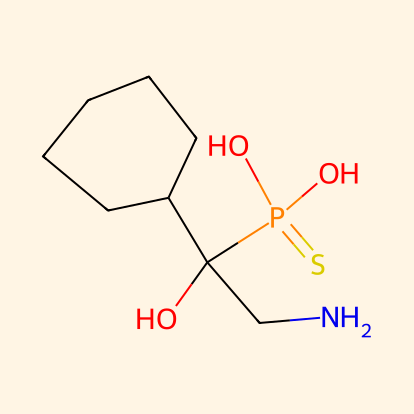 NCC(O)(C1CCCCC1)P(O)(O)=S